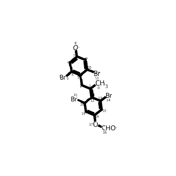 CC(Cc1c(Br)cc([O])cc1Br)=C1C(Br)=CC(O[C]=O)=CC1Br